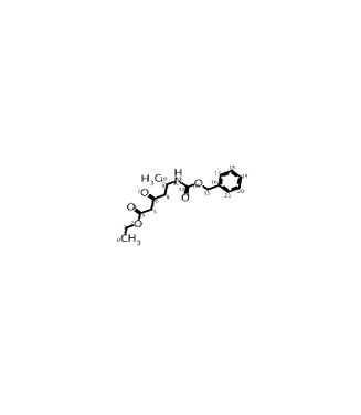 CCOC(=O)CC(=O)C[C@H](C)NC(=O)OCc1ccccc1